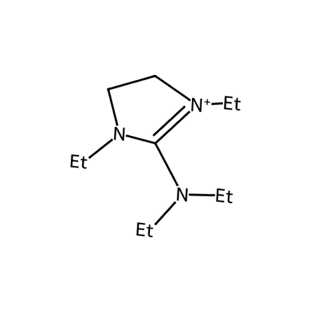 CCN(CC)C1=[N+](CC)CCN1CC